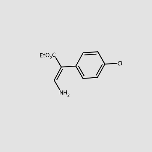 CCOC(=O)/C(=C/N)c1ccc(Cl)cc1